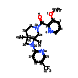 CCCOc1cccnc1C(=O)N1CC[C@H]2CN(c3ccc(C(F)(F)F)cn3)[C@H]2C1